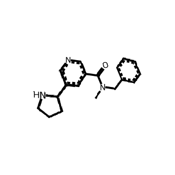 CN(Cc1ccccc1)C(=O)c1cncc(C2CCCN2)c1